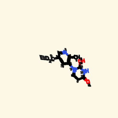 CCOC(=O)c1cnc(C)c(N2CCC(=O)NC2O)c1